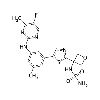 Cc1cc(Nc2ncc(F)c(C)n2)cc(-c2cnc(C3(NS(N)(=O)=O)COC3)s2)c1